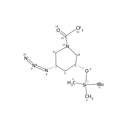 CC(C)(C)[Si](C)(C)O[C@@H]1C[C@H](N=[N+]=[N-])CN(C(=O)C(F)(F)F)C1